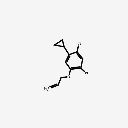 C=CCOc1cc(C2CC2)c(Cl)cc1Br